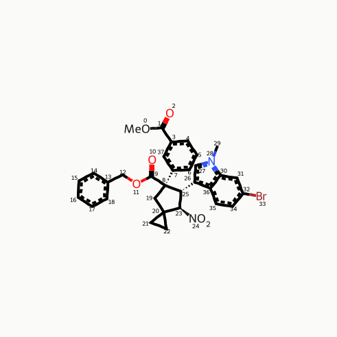 COC(=O)c1cccc([C@@]2(C(=O)OCc3ccccc3)CC3(CC3)[C@H]([N+](=O)[O-])[C@H]2c2cn(C)c3cc(Br)ccc23)c1